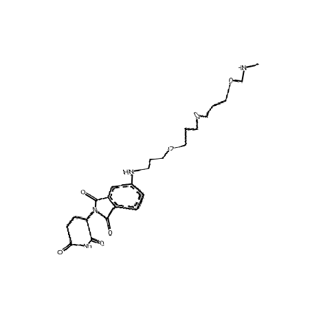 CNCOCCCOCCCOCCCNc1ccc2c(c1)C(=O)N(C1CCC(=O)NC1=O)C2=O